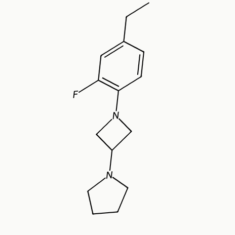 CCc1ccc(N2CC(N3CCCC3)C2)c(F)c1